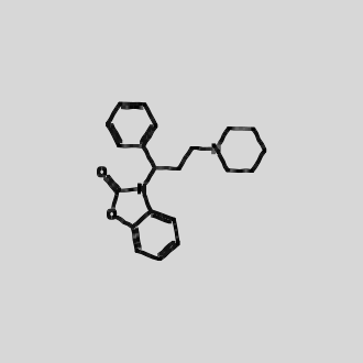 O=c1oc2ccccc2n1C(CCN1CCCCC1)c1ccccc1